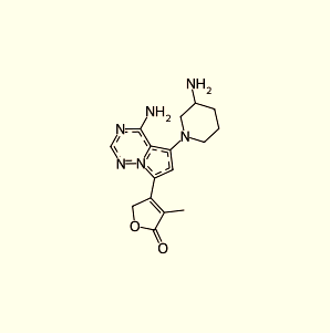 CC1=C(c2cc(N3CCCC(N)C3)c3c(N)ncnn23)COC1=O